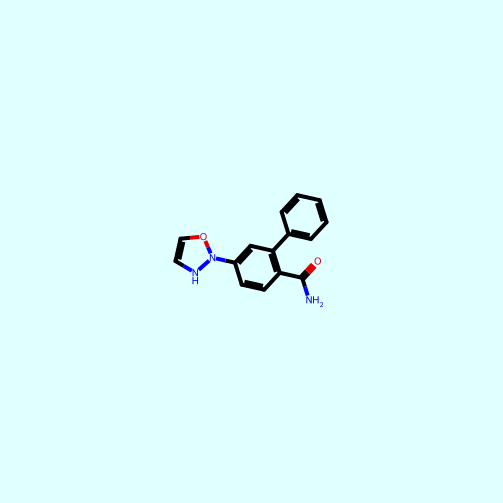 NC(=O)c1ccc(N2NC=CO2)cc1-c1ccccc1